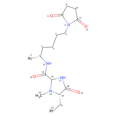 CC(=O)[C@H](CCCCN1C(=O)CCC1=O)NC(=O)C1NC(=O)[C@H](CC(C)C)N1C